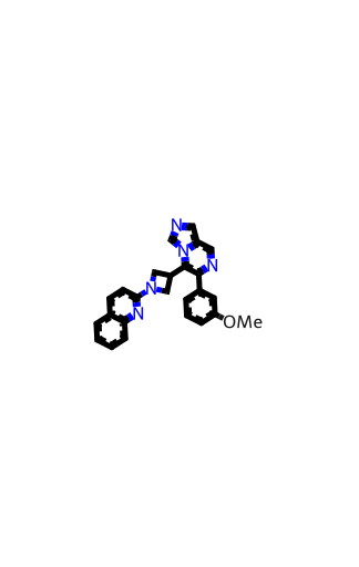 COc1cccc(-c2ncc3cncn3c2C2CN(c3ccc4ccccc4n3)C2)c1